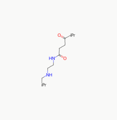 CC(C)CNCCNC(=O)CCC(=O)C(C)C